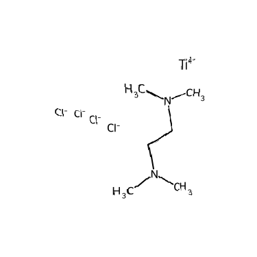 CN(C)CCN(C)C.[Cl-].[Cl-].[Cl-].[Cl-].[Ti+4]